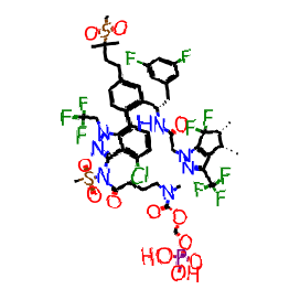 C[C@@H]1c2c(C(F)(F)F)nn(CC(=O)N[C@@H](Cc3cc(F)cc(F)c3)c3cc(CCC(C)(C)S(C)(=O)=O)ccc3-c3ccc(Cl)c4c(N(C(=O)CCCN(C)C(=O)OCOP(=O)(O)O)S(C)(=O)=O)nn(CC(F)(F)F)c34)c2C(F)(F)[C@@H]1C